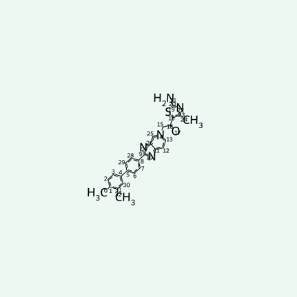 Cc1ccc(-c2ccc(-c3nc4ccn(CC(=O)c5sc(N)nc5C)cc-4n3)cc2)cc1C